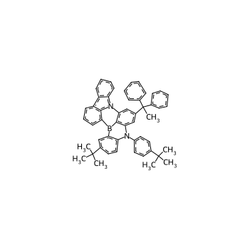 CC(C)(C)c1ccc(N2c3ccc(C(C)(C)C)cc3B3c4c2cc(C(C)(c2ccccc2)c2ccccc2)cc4-n2c4ccccc4c4cccc3c42)cc1